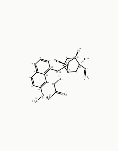 C=C[C@H]1CN2CC[C@H]1C[C@H]2[C@H](OCC(N)=O)c1ccnc2ccc(OC)cc12